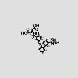 O=C(O)CC(CC(=O)O)NC(=O)c1cccc(Cn2c3ccccc3c3cc(-c4nn[nH]n4)ccc32)c1